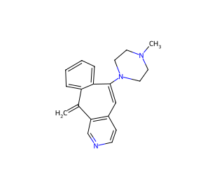 C=C1c2cnccc2C=C(N2CCN(C)CC2)c2ccccc21